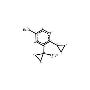 CC(C)COc1cnc(C2CC2)c(C2(C(=O)O)CC2)c1